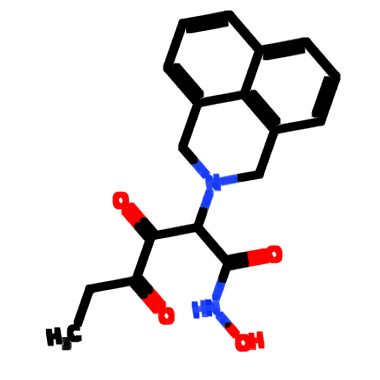 CCC(=O)C(=O)C(C(=O)NO)N1Cc2cccc3cccc(c23)C1